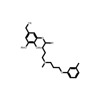 COc1cc(CC#N)cc(OC(CCCN(C)CCCOc2cccc(C)c2)C(C)C)c1OC